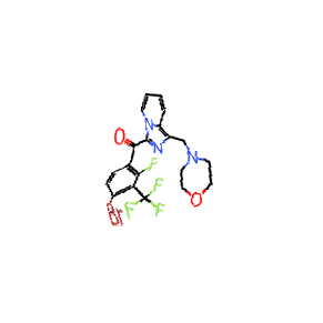 O=C(c1ccc(Br)c(C(F)(F)F)c1F)c1nc(CN2CCOCC2)c2ccccn12